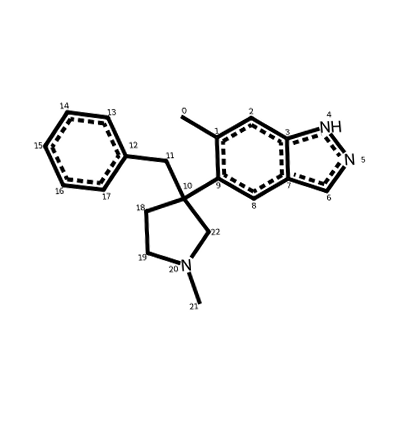 Cc1cc2[nH]ncc2cc1C1(Cc2ccccc2)CCN(C)C1